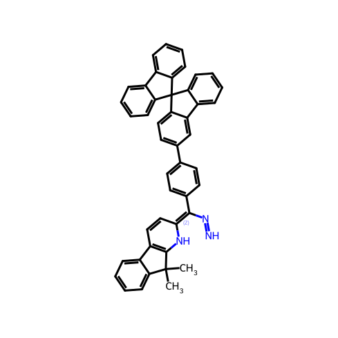 CC1(C)C2=C(C=C/C(=C(/N=N)c3ccc(-c4ccc5c(c4)-c4ccccc4C54c5ccccc5-c5ccccc54)cc3)N2)c2ccccc21